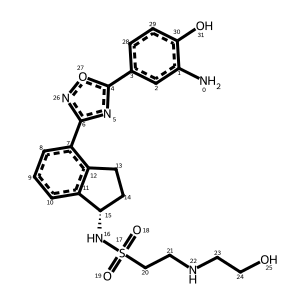 Nc1cc(-c2nc(-c3cccc4c3CC[C@@H]4NS(=O)(=O)CCNCCO)no2)ccc1O